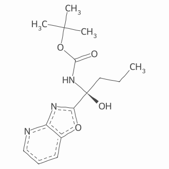 CCC[C@@](O)(NC(=O)OC(C)(C)C)c1nc2ncccc2o1